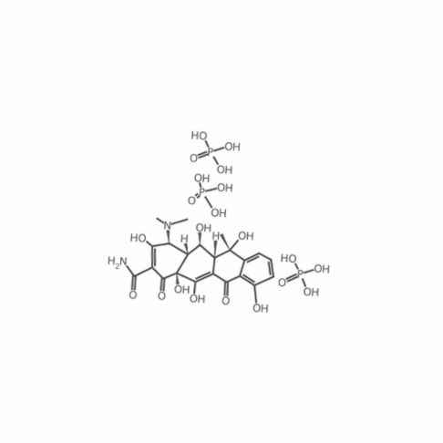 CN(C)[C@@H]1C(O)=C(C(N)=O)C(=O)[C@@]2(O)C(O)=C3C(=O)c4c(O)cccc4[C@@](C)(O)[C@H]3[C@H](O)[C@@H]12.O=P(O)(O)O.O=P(O)(O)O.O=P(O)(O)O